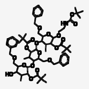 CC1C(O)C(COCc2ccccc2)OC(OC2C(COCc3ccccc3)OC(OC3C(COCc4ccccc4)OC(OCCNC(=O)OC(C)(C)C)C(OC(=O)C(C)(C)C)C3C)C(OC(=O)C(C)(C)C)C2C)C1OC(=O)C(C)(C)C